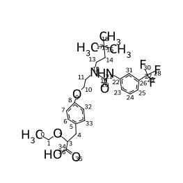 CCOC(Cc1ccc(OCCN(CCC(C)(C)C)C(=O)Nc2cccc(C(F)(F)F)c2)cc1)C(=O)O